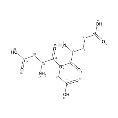 NC(CCC(=O)O)C(=O)N(CC(=O)O)C(=O)C(N)CC(=O)O